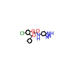 O=C(COc1ccc(Cl)cc1C(=O)c1ccccc1)Nc1ccc2[nH]nnc2c1